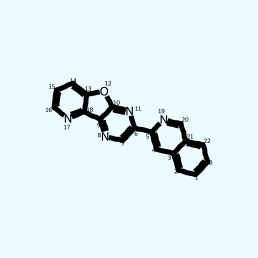 c1ccc2cc(-c3cnc4c(n3)oc3cccnc34)ncc2c1